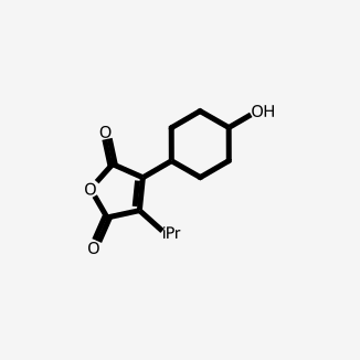 CC(C)C1=C(C2CCC(O)CC2)C(=O)OC1=O